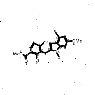 COC(=O)c1ccc(Cl)c(Cc2cc3c(C)cc(OC)cc3n2C)c1Cl